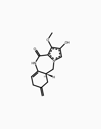 C=C1CC=C2NC(=O)c3c(OC)c(O)cn3C[C@@H]2C1